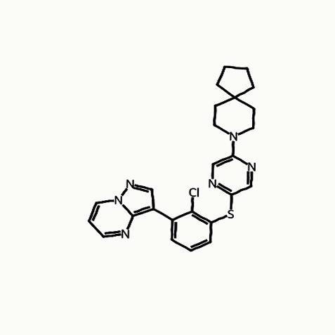 Clc1c(Sc2cnc(N3CCC4(CCCC4)CC3)cn2)cccc1-c1cnn2cccnc12